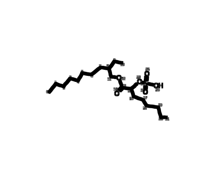 CCCCCCCCC(CC)COC(=O)C(CCCCCC)OS(=O)(=O)O